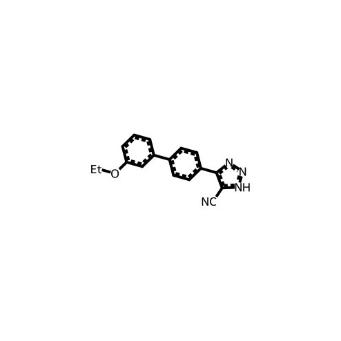 CCOc1cccc(-c2ccc(-c3nn[nH]c3C#N)cc2)c1